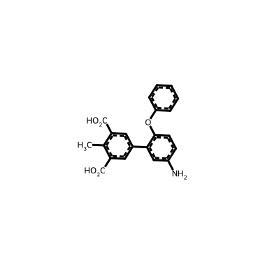 Cc1c(C(=O)O)cc(-c2cc(N)ccc2Oc2ccccc2)cc1C(=O)O